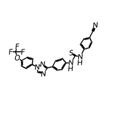 N#Cc1ccc(NC(=S)Nc2ccc(-c3ncn(-c4ccc(OC(F)(F)F)cc4)n3)cc2)cc1